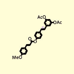 COc1ccc(C=CC(=O)Oc2ccc(/C=C/c3cc(OC(C)=O)cc(OC(C)=O)c3)cc2)cc1